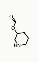 O=COC1CCCNC1